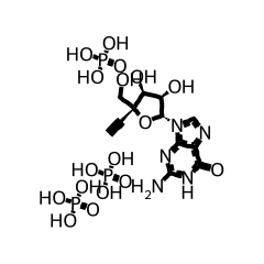 C#C[C@]1(CO)O[C@@H](n2cnc3c(=O)[nH]c(N)nc32)[C@H](O)[C@@H]1O.O=P(O)(O)O.O=P(O)(O)O.O=P(O)(O)O